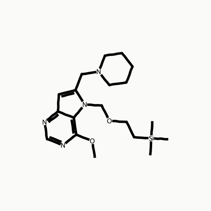 COc1ncnc2cc(CN3CCCCC3)n(COCC[Si](C)(C)C)c12